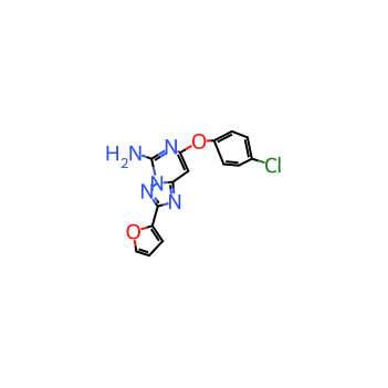 Nc1nc(Oc2ccc(Cl)cc2)cc2nc(-c3ccco3)nn12